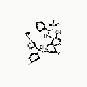 BC(Nc1cc(Cl)c2ncc(C#N)c(N[C@H](CS(C)(=O)=O)c3ccccc3)c2c1)(c1ccc(F)cc1)c1cn(C2CC2)nn1